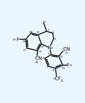 CC1CCN(c2ccc(C(F)(F)F)c(F)c2C#N)c2c(C#N)cc(F)cc21